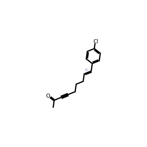 CC(=O)C#CCCC/C=C/c1ccc(Cl)cc1